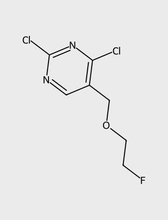 FCCOCc1cnc(Cl)nc1Cl